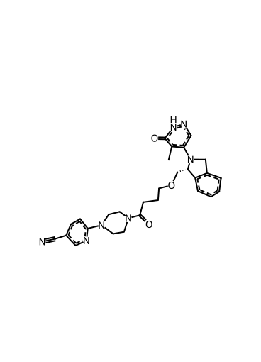 Cc1c(N2Cc3ccccc3[C@@H]2COCCCC(=O)N2CCN(c3ccc(C#N)cn3)CC2)cn[nH]c1=O